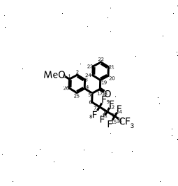 COc1ccc(C(CC(F)(F)C(F)(F)C(F)(F)C(F)(F)F)C(=O)c2ccccc2)cc1